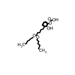 CCCCCCOC(CCCCc1cccc(OC(=O)O)c1O)OCCCCCC